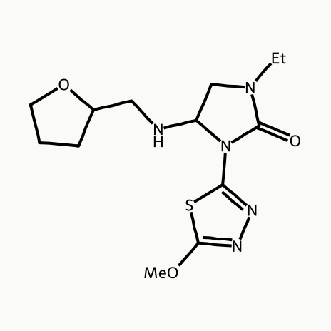 CCN1CC(NCC2CCCO2)N(c2nnc(OC)s2)C1=O